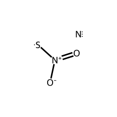 O=[N+]([O-])[S].[N]